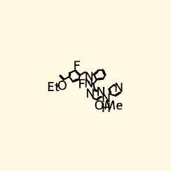 C=C(OCC)c1cc(F)c(Cn2nc(-c3ncc(OC)c(Nc4ccncc4)n3)c3ccccc32)c(F)c1